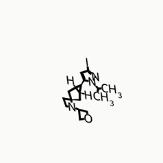 CC(C)n1nc(I)cc1[C@H]1[C@@H]2C[C@@]3(CCN3C3COC3)C[C@@H]21